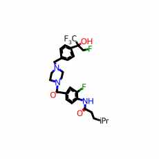 CC(C)CCC(=O)Nc1ccc(C(=O)N2CCN(Cc3ccc(C(O)(CF)C(F)(F)F)cc3)CC2)cc1F